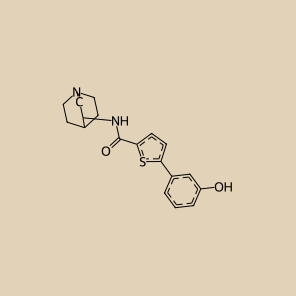 O=C(NC1CN2CCC1CC2)c1ccc(-c2cccc(O)c2)s1